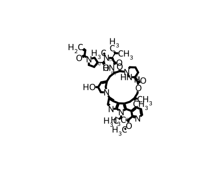 C=CC(=O)N1CC[C@H](C(=O)N(C)[C@H](C(=O)N[C@H]2CC3=CC(O)CN(C3)c3cnc4c(c3)c(c(-c3cccnc3[C@H](C)OC)n4CC)CC(C)(C)COC(=O)[C@@H]3CCCN(N3)C2=O)C(C)C)C1